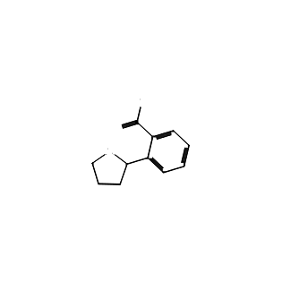 NC(=O)c1ccccc1C1CCCN1